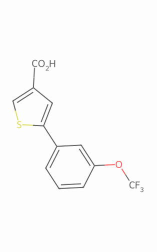 O=C(O)c1csc(-c2cccc(OC(F)(F)F)c2)c1